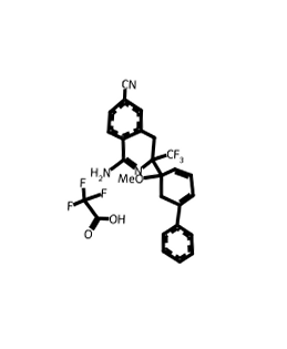 COC1(C2(C(F)(F)F)Cc3cc(C#N)ccc3C(N)=N2)C=CC=C(c2ccccc2)C1.O=C(O)C(F)(F)F